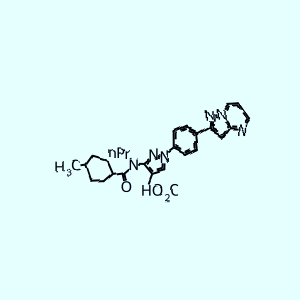 CCCN(C(=O)C1CCC(C)CC1)c1nn(-c2ccc(-c3cc4ncccn4n3)cc2)cc1C(=O)O